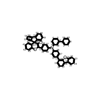 c1ccc(-c2cccc(N(c3ccc(-c4cccc5c4oc4ccccc45)cc3)c3ccc4c5c(oc4c3)C3(c4ccccc4O5)c4ccccc4-c4ccccc43)c2)cc1